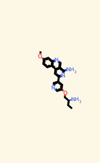 CC[C@H](N)COc1cncc(-c2cc3c(cnc4cc(OC)ccc43)c(N)n2)c1